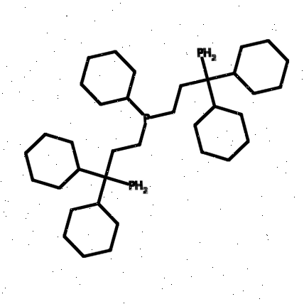 PC(CCP(CCC(P)(C1CCCCC1)C1CCCCC1)C1CCCCC1)(C1CCCCC1)C1CCCCC1